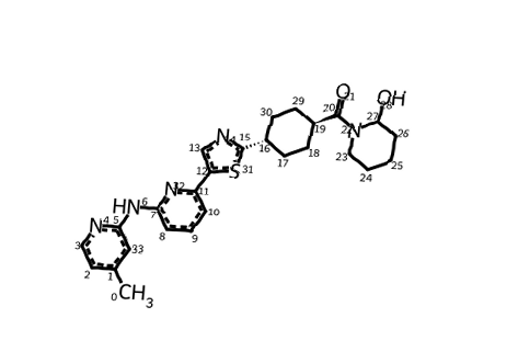 Cc1ccnc(Nc2cccc(-c3cnc([C@H]4CC[C@H](C(=O)N5CCCCC5O)CC4)s3)n2)c1